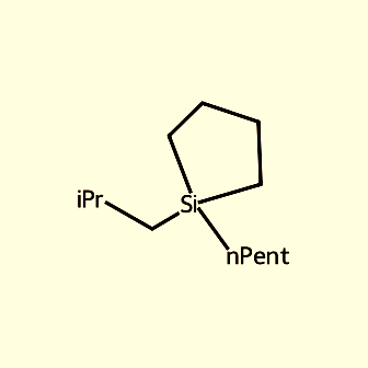 CCCCC[Si]1(CC(C)C)CCCC1